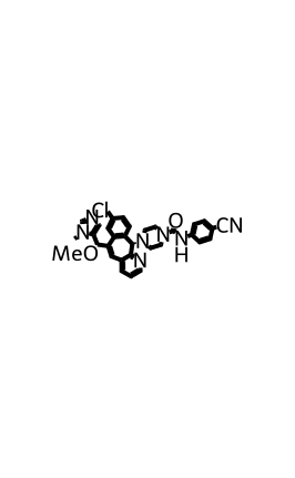 COC(C1=Cc2cccnc2[C@@H](N2CCN(C(=O)Nc3ccc(C#N)cc3)CC2)c2ccc(Cl)cc21)c1cncn1C